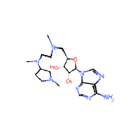 CN1CCC(N(C)CCN(C)C[C@H]2O[C@@H](n3cnc4c(N)ncnc43)[C@H](O)[C@@H]2O)C1